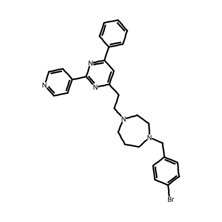 Brc1ccc(CN2CCCN(CCc3cc(-c4ccccc4)nc(-c4ccncc4)n3)CC2)cc1